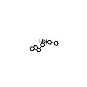 c1ccc(-c2ccc(Nc3ccc(-c4cccc5c4ccc4ccccc45)cc3)cc2)cc1